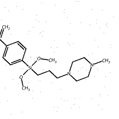 C=Cc1ccc([Si](CCCN2CCN(C)CC2)(OC)OC)cc1